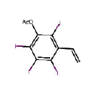 C=Cc1c(I)c(I)c(I)c(OC(C)=O)c1I